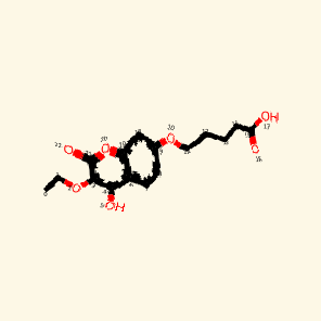 CCOc1c(O)c2ccc(OCCCCC(=O)O)cc2oc1=O